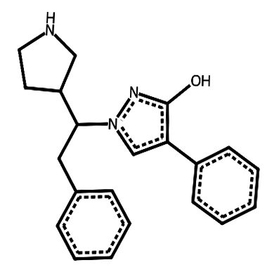 Oc1nn(C(Cc2ccccc2)C2CCNC2)cc1-c1ccccc1